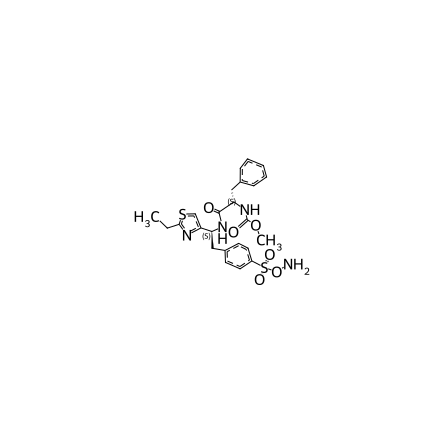 CCc1nc([C@H](Cc2ccc(S(=O)(=O)ON)cc2)NC(=O)[C@H](Cc2ccccc2)NC(=O)OC)cs1